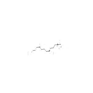 C=CC(C)(CCC[C@H](C)CCC[C@H](C)CCCC(C)C)N=O